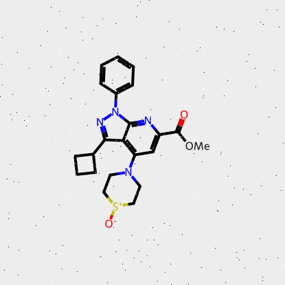 COC(=O)c1cc(N2CC[S+]([O-])CC2)c2c(C3CCC3)nn(-c3ccccc3)c2n1